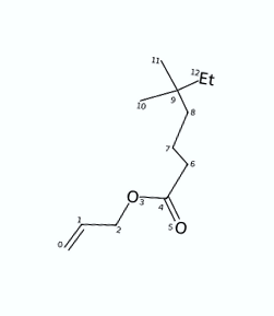 C=CCOC(=O)CCCC(C)(C)CC